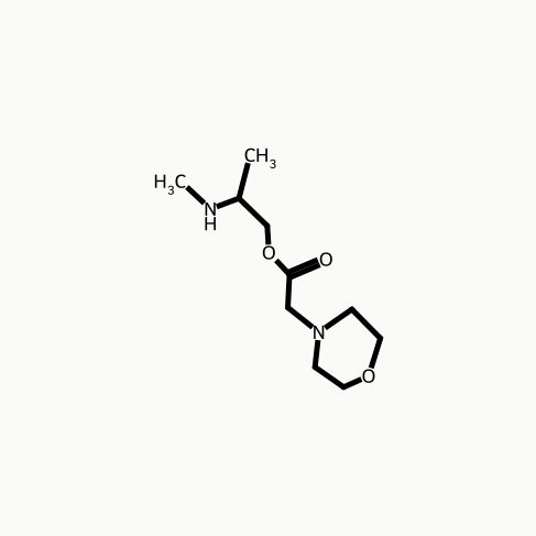 CNC(C)COC(=O)CN1CCOCC1